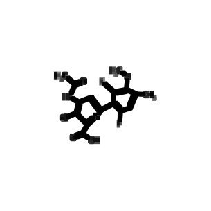 COc1c(C)cc(F)c(-c2cc(NC(C)=O)c(Cl)c(C(=O)O)n2)c1F